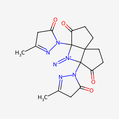 CC1=NN(C23C(=O)CCC24CCC(=O)C4(N2N=C(C)CC2=O)[N+]3=[N-])C(=O)C1